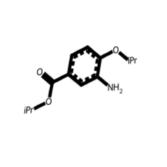 CC(C)OC(=O)c1ccc(OC(C)C)c(N)c1